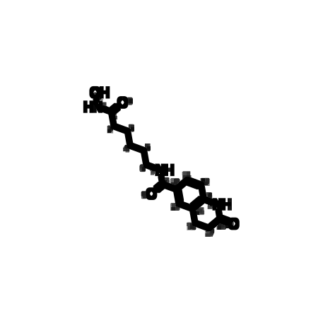 O=C(CCCCCNC(=O)c1ccc2c(c1)CCC(=O)N2)NO